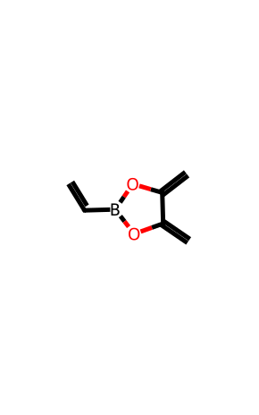 C=CB1OC(=C)C(=C)O1